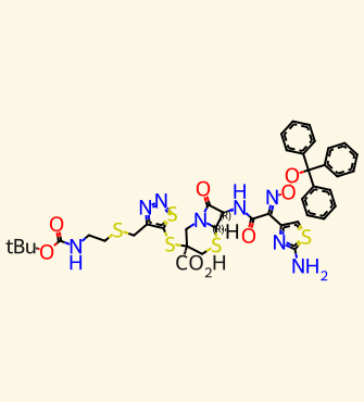 CC(C)(C)OC(=O)NCCSCc1nnsc1SC1(C(=O)O)CS[C@@H]2[C@H](NC(=O)C(=NOOC(c3ccccc3)(c3ccccc3)c3ccccc3)c3csc(N)n3)C(=O)N2C1